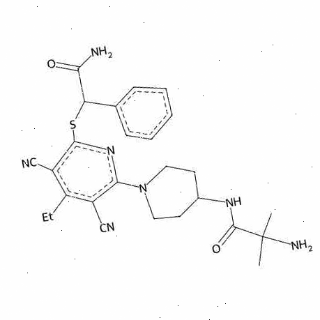 CCc1c(C#N)c(SC(C(N)=O)c2ccccc2)nc(N2CCC(NC(=O)C(C)(C)N)CC2)c1C#N